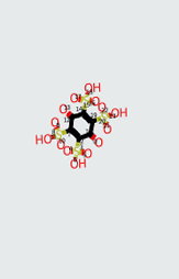 O=C1C(S(=O)(=O)O)=C(S(=O)(=O)O)C(=O)C(S(=O)(=O)O)=C1S(=O)(=O)O